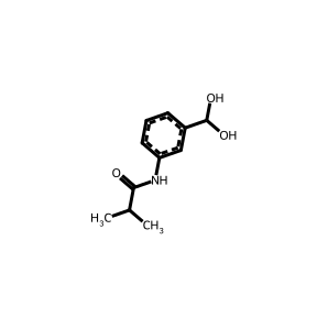 CC(C)C(=O)Nc1cccc(C(O)O)c1